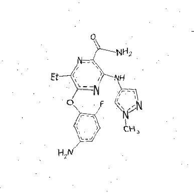 CCc1nc(C(N)=O)c(Nc2cnn(C)c2)nc1Oc1cc(N)ccc1F